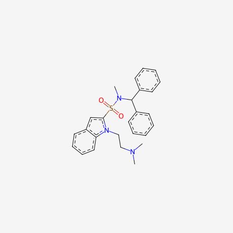 CN(C)CCn1c(S(=O)(=O)N(C)C(c2ccccc2)c2ccccc2)cc2ccccc21